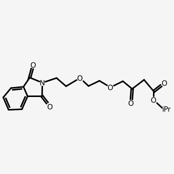 CC(C)OC(=O)CC(=O)COCCOCCN1C(=O)c2ccccc2C1=O